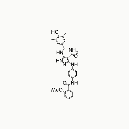 COc1ccccc1C(=O)Nc1ccc(Nc2n[nH]c(NCc3cc(C)c(O)c(C)c3)c2C(N)=O)cc1